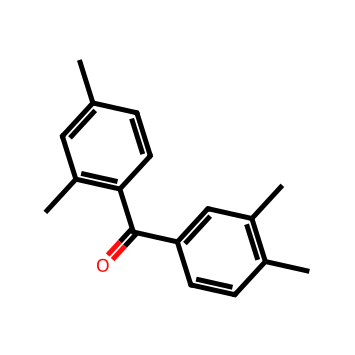 Cc1ccc(C(=O)c2ccc(C)c(C)c2)c(C)c1